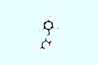 COc1cc(OC)c(CNC(CC(=O)O)C(=O)O)c(OC)c1